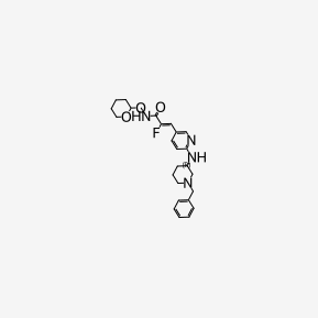 O=C(NOC1CCCCO1)C(F)=Cc1ccc(N[C@@H]2CCCN(Cc3ccccc3)C2)nc1